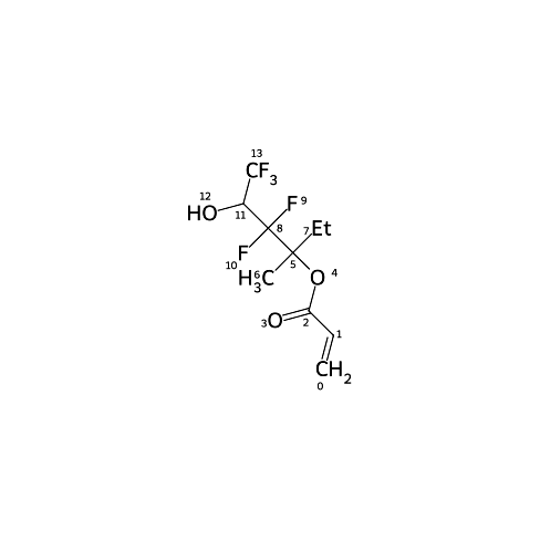 C=CC(=O)OC(C)(CC)C(F)(F)C(O)C(F)(F)F